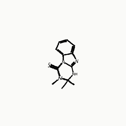 CN1C(=S)n2c(nc3ccccc32)NC1(C)C